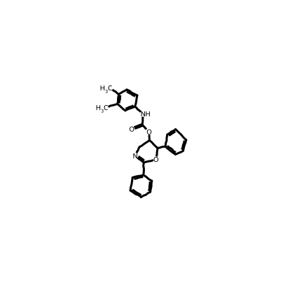 Cc1ccc(NC(=O)OC2CN=C(c3ccccc3)OC2c2ccccc2)cc1C